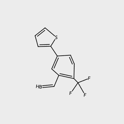 B=Cc1cc(-c2cccs2)ccc1C(F)(F)F